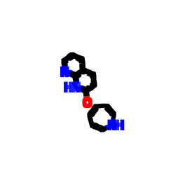 C1=CC=CNC=C1.O=c1ccc2cccnc2[nH]1